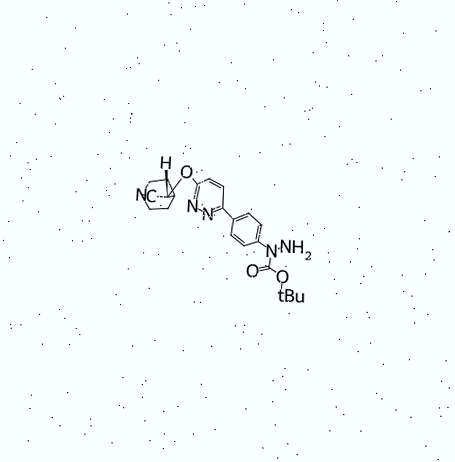 CC(C)(C)OC(=O)N(N)c1ccc(-c2ccc(O[C@H]3CN4CCC3CC4)nn2)cc1